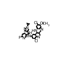 [2H]C(Nc1cc(Cl)c2ncc(C#N)c(Nc3ccc(OC)c(Cl)c3)c2c1)(c1ccc(F)nc1)c1cn(C2CC2)nn1